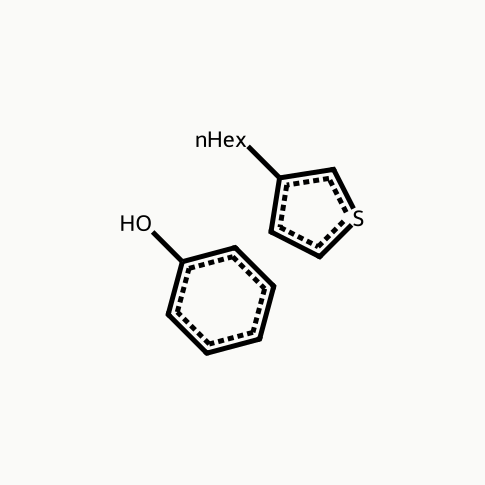 CCCCCCc1ccsc1.Oc1ccccc1